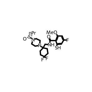 CCC[S+]([O-])N1CCN(C2(CNC(=O)c3c(S)cc(F)cc3OC)CCC(F)(F)CC2)CC1